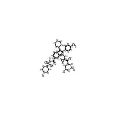 COc1ccc(-c2c(C3CCCCC3)c3ccc(C(=O)NS(=O)(=O)N4CCN(C)CC4)cc3n2CC2(C(=O)N3C[C@@H](C)O[C@@H](C)C3)CC2)cc1